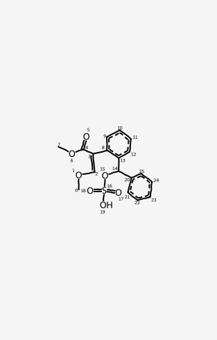 COC=C(C(=O)OC)c1ccccc1C(OS(=O)(=O)O)c1ccccc1